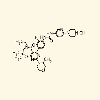 CCN1CC(C)(C)Oc2nc(N3CCOCC3C)nc(-c3ccc(NC(=O)Nc4ccc(N5CCN(C)CC5)nc4)c(F)c3)c2C1=O